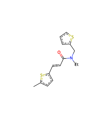 CCN(Cc1cccs1)C(=O)C=Cc1ccc(C)s1